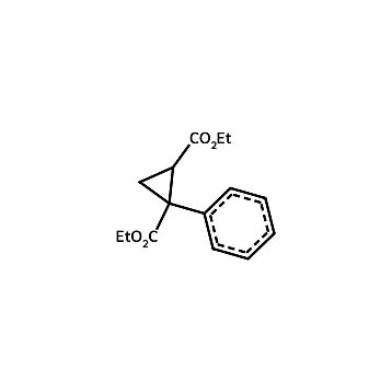 CCOC(=O)C1CC1(C(=O)OCC)c1ccccc1